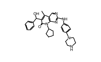 Cc1c(C(O)c2ccccc2)c(=O)n(C2CCCC2)c2nc(Nc3ccc(N4CCNCC4)cc3)ncc12